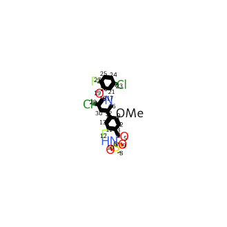 COc1cc(C(=O)NS(C)(=O)=O)c(F)cc1-c1cnc(Oc2cc(Cl)ccc2F)c(Cl)c1